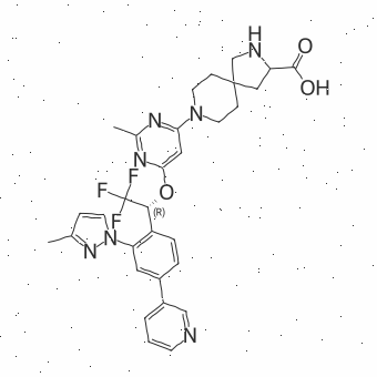 Cc1ccn(-c2cc(-c3cccnc3)ccc2[C@@H](Oc2cc(N3CCC4(CC3)CNC(C(=O)O)C4)nc(C)n2)C(F)(F)F)n1